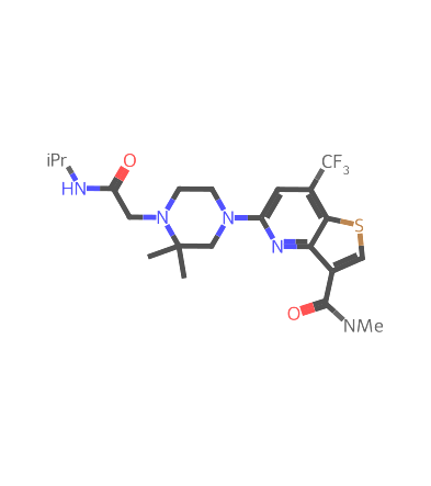 CNC(=O)c1csc2c(C(F)(F)F)cc(N3CCN(CC(=O)NC(C)C)C(C)(C)C3)nc12